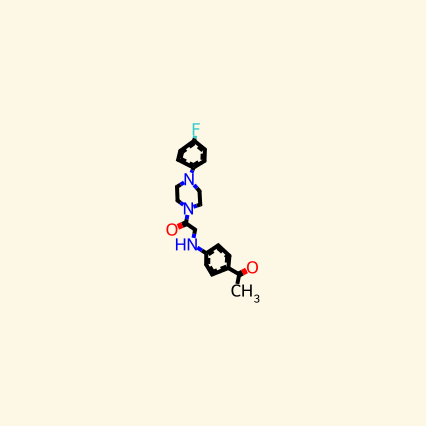 CC(=O)c1ccc(NCC(=O)N2CCN(c3ccc(F)cc3)CC2)cc1